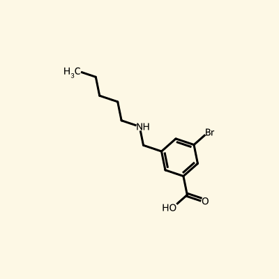 CCCCCNCc1cc(Br)cc(C(=O)O)c1